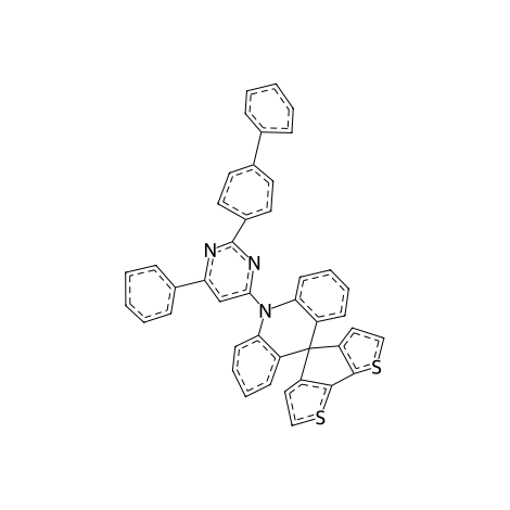 c1ccc(-c2ccc(-c3nc(-c4ccccc4)cc(N4c5ccccc5C5(c6ccccc64)c4ccsc4-c4sccc45)n3)cc2)cc1